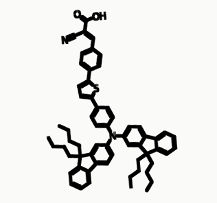 CCCCC1(CCCC)c2ccccc2-c2ccc(N(c3ccc(-c4ccc(-c5ccc(/C=C(\C#N)C(=O)O)cc5)s4)cc3)c3ccc4c(c3)C(CCCC)(CCCC)c3ccccc3-4)cc21